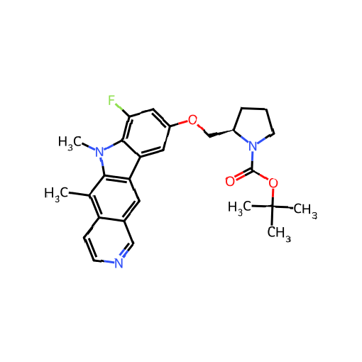 Cc1c2ccncc2cc2c3cc(OC[C@H]4CCCN4C(=O)OC(C)(C)C)cc(F)c3n(C)c12